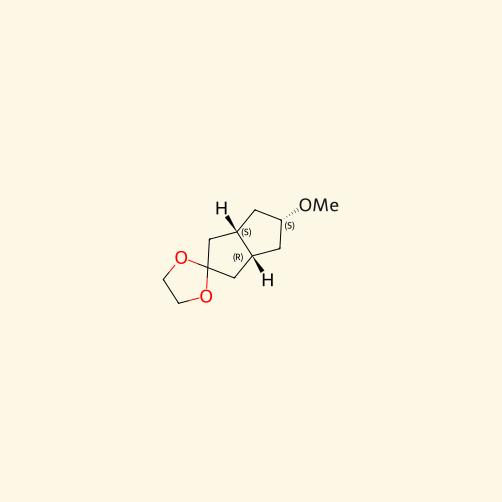 CO[C@@H]1C[C@@H]2CC3(C[C@@H]2C1)OCCO3